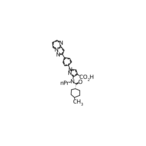 CCCN(c1nn(-c2ccc(-c3cc4ncccn4n3)cc2)cc1C(=O)O)C(=O)[C@H]1CC[C@H](C)CC1